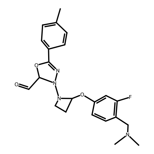 Cc1ccc(C2=NN(N3CCC3Oc3ccc(CN(C)C)c(F)c3)C(C=O)O2)cc1